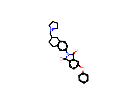 O=C1c2ccc(Oc3ccccc3)cc2C(=O)N1c1ccc2c(c1)CCC(CN1CCCC1)C2